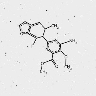 COC(=O)c1nc(C2C(F)=c3occc3=CC2C)nc(N)c1OC